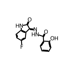 O=C1Nc2ccc(F)cc2/C1=N\NC(=O)c1ccccc1O